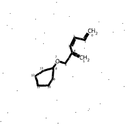 C=C/C=C\C(=C)COC1CCCCC1